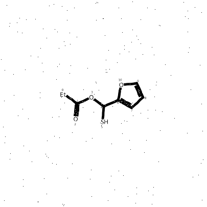 CCC(=O)OC(S)c1ccco1